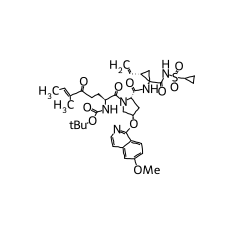 C=C[C@@H]1C[C@]1(NC(=O)[C@@H]1C[C@@H](Oc2nccc3cc(OC)ccc23)CN1C(=O)[C@H](CCC(=O)/C(C)=C/C)NC(=O)OC(C)(C)C)C(=O)NS(=O)(=O)C1CC1